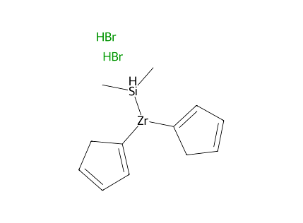 Br.Br.C[SiH](C)[Zr]([C]1=CC=CC1)[C]1=CC=CC1